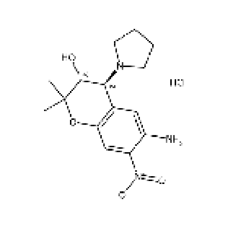 CC1(C)Oc2cc([N+](=O)[O-])c(N)cc2[C@H](N2CCCC2)[C@H]1O.Cl